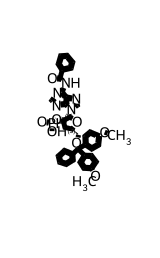 COc1ccc(C(OC[C@@H]2C[C@@H](O[PH](=O)O)[C@H](n3cnc4c(NC(=O)c5ccccc5)ncnc43)O2)(c2ccccc2)c2ccc(OC)cc2)cc1